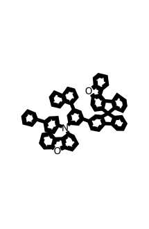 c1ccc(-c2ccc(N(c3cc(-c4ccc5c(c4)C4(c6ccccc6-5)c5ccccc5-c5c4ccc4oc6ccccc6c54)cc(-c4cccc5ccccc45)c3)c3cccc4oc5ccccc5c34)cc2)cc1